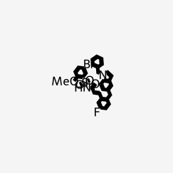 COc1ccc(Br)cc1S(=O)(=O)NC(=O)C=Cc1cc(F)ccc1Cc1ccc2c(ccn2Cc2ccccc2)c1